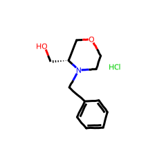 Cl.OC[C@@H]1COCCN1Cc1ccccc1